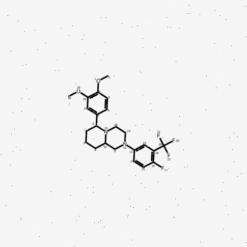 COc1ccc(C2CCCC3CN(c4ccc(F)c(C(F)(F)F)c4)CCN32)cc1OC